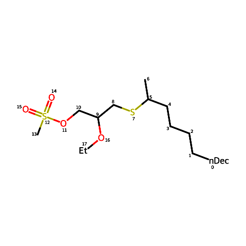 CCCCCCCCCCCCCCC(C)SCC(COS(C)(=O)=O)OCC